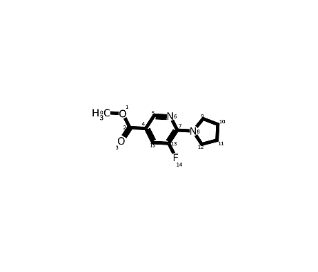 COC(=O)c1cnc(N2CCCC2)c(F)c1